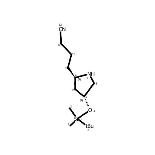 CC(C)(C)[Si](C)(C)O[C@H]1CN[C@H](CCCC#N)C1